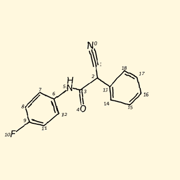 N#CC(C(=O)Nc1ccc(F)cc1)c1ccccc1